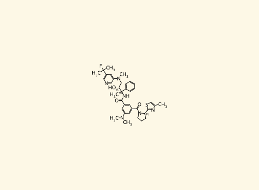 Cc1csc([C@H]2CCCN2C(=O)c2cc(C(=O)N[C@@](C)(c3ccccc3)[C@H](O)CN(C)c3cncc(C(C)(C)F)c3)cc(N(C)C)c2)n1